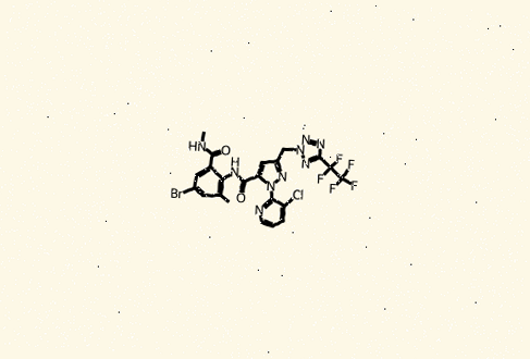 CNC(=O)c1cc(Br)cc(C)c1NC(=O)c1cc(Cn2nnc(C(F)(F)C(F)(F)F)n2)nn1-c1ncccc1Cl